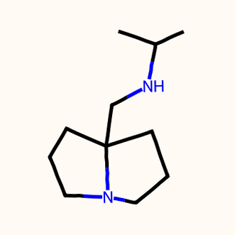 CC(C)NCC12CCCN1CCC2